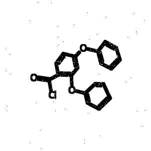 O=C(Cl)c1ccc(Oc2ccccc2)cc1Oc1ccccc1